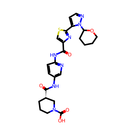 O=C(Nc1ccc(NC(=O)[C@H]2CCCN(C(=O)O)C2)cn1)c1csc(-c2ccnn2C2CCCCO2)n1